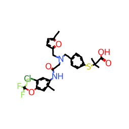 Cc1ccc(CN(CC(=O)Nc2cc(Cl)c(OC(F)(F)F)cc2C)Cc2ccc(SC(C)(C)C(=O)O)cc2)o1